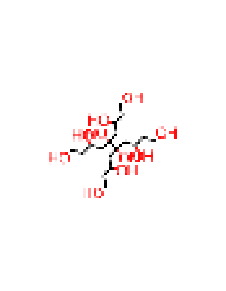 OCCC(O)CC(O)(CC(O)CCO)C(O)(CC(O)CCO)CC(O)CCO